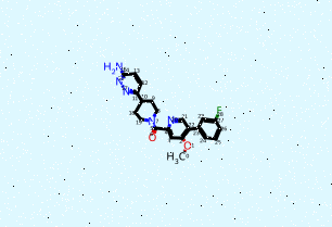 COc1cc(C(=O)N2CCC(c3ccc(N)nn3)CC2)ncc1-c1cccc(F)c1